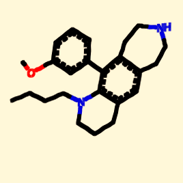 CCCCN1CCCc2cc3c(c(-c4cccc(OC)c4)c21)CCNCC3